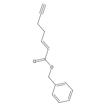 C#CCCC=CC(=O)OCc1ccccc1